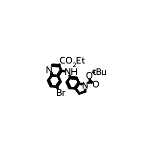 CCOC(=O)c1cnc2ccc(Br)cc2c1Nc1ccc2c(c1)N(C(=O)OC(C)(C)C)CC2